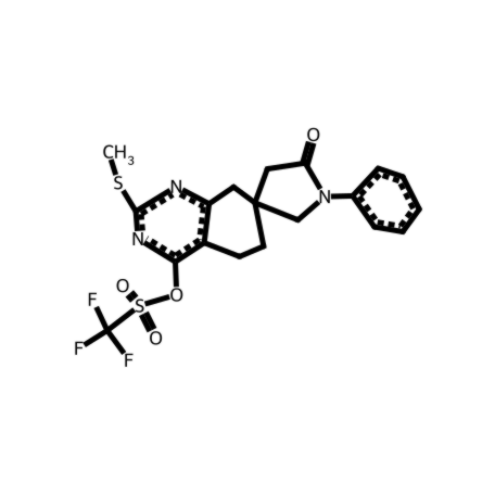 CSc1nc2c(c(OS(=O)(=O)C(F)(F)F)n1)CCC1(CC(=O)N(c3ccccc3)C1)C2